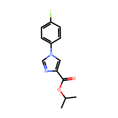 CC(C)OC(=O)c1cn(-c2ccc(F)cc2)cn1